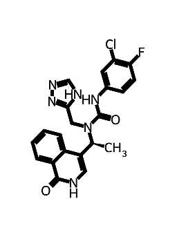 C[C@@H](c1c[nH]c(=O)c2ccccc12)N(Cc1nnc[nH]1)C(=O)Nc1ccc(F)c(Cl)c1